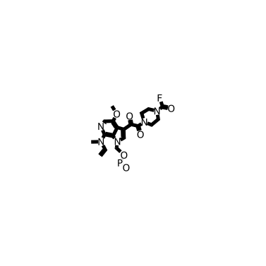 C=CN(C)c1ncc(OC)c2c(C(=O)C(=O)N3CCN(C(=O)F)CC3)cn(COP=O)c12